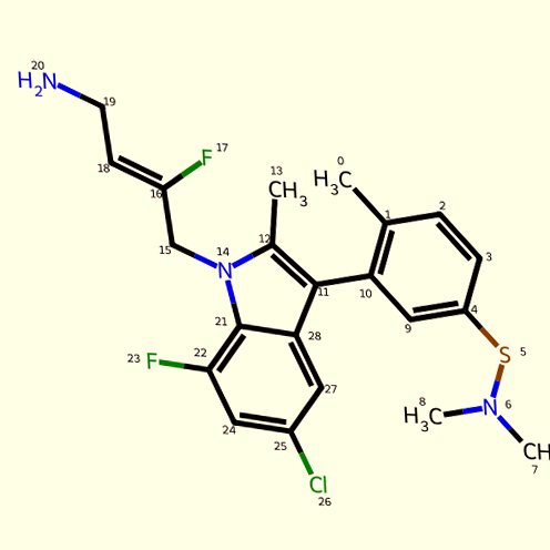 Cc1ccc(SN(C)C)cc1-c1c(C)n(C/C(F)=C/CN)c2c(F)cc(Cl)cc12